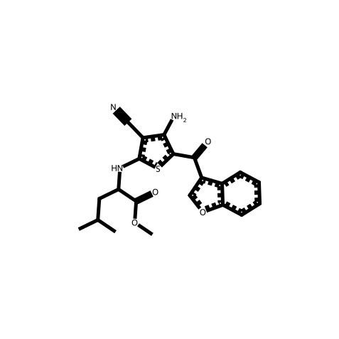 COC(=O)C(CC(C)C)Nc1sc(C(=O)c2coc3ccccc23)c(N)c1C#N